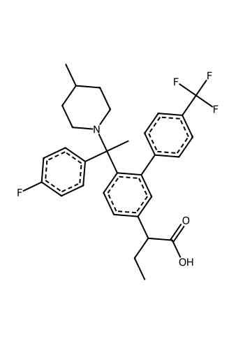 CCC(C(=O)O)c1ccc(C(C)(c2ccc(F)cc2)N2CCC(C)CC2)c(-c2ccc(C(F)(F)F)cc2)c1